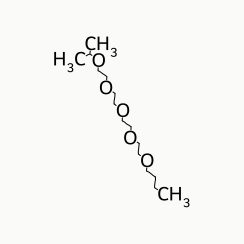 CCCCOCCOCCOCCOCCOC(C)C